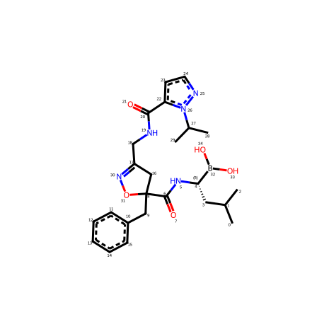 CC(C)C[C@H](NC(=O)C1(Cc2ccccc2)CC(CNC(=O)c2ccnn2C(C)C)=NO1)B(O)O